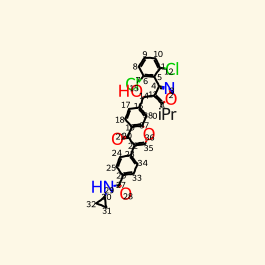 CC(C)c1onc(-c2c(Cl)cccc2Cl)c1C(O)c1ccc2c(=O)c(-c3ccc(C(=O)NC4CC4)cc3)coc2c1